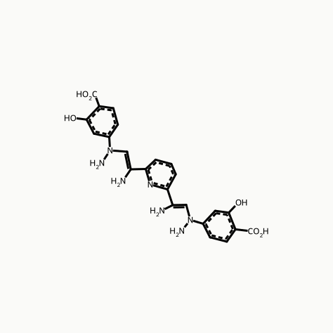 N/C(=C\N(N)c1ccc(C(=O)O)c(O)c1)c1cccc(/C(N)=C/N(N)c2ccc(C(=O)O)c(O)c2)n1